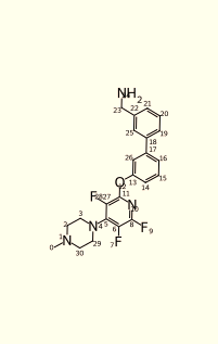 CN1CCN(c2c(F)c(F)nc(Oc3cccc(-c4cccc(CN)c4)c3)c2F)CC1